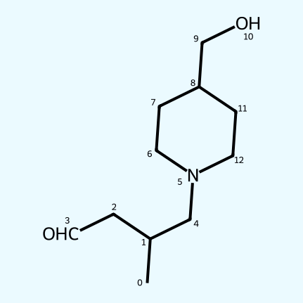 CC(CC=O)CN1CCC(CO)CC1